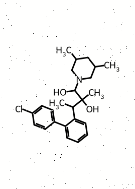 CC1CC(C)CN(C(O)C(C)(O)C(C)c2ccccc2-c2ccc(Cl)cc2)C1